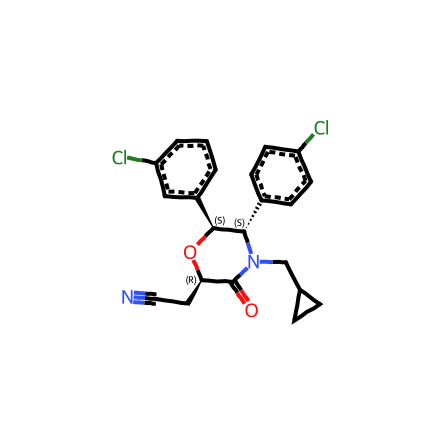 N#CC[C@H]1O[C@@H](c2cccc(Cl)c2)[C@H](c2ccc(Cl)cc2)N(CC2CC2)C1=O